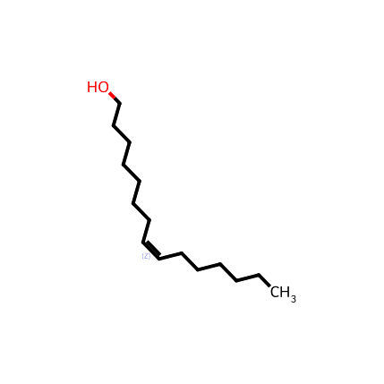 CCCCCC/C=C\CCCCCCCO